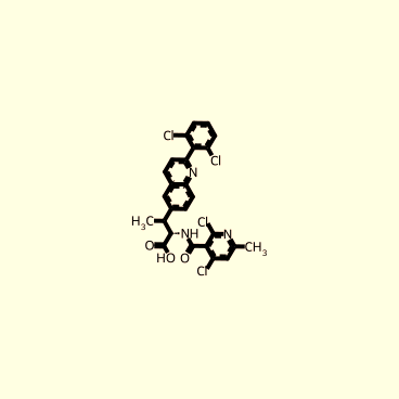 Cc1cc(Cl)c(C(=O)N[C@H](C(=O)O)C(C)c2ccc3nc(-c4c(Cl)cccc4Cl)ccc3c2)c(Cl)n1